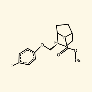 CC(C)(C)OC(=O)N1C2CCC1[C@H](COc1ccc(F)cc1)CC2